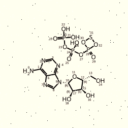 Nc1ncnc2c1ncn2[C@@H]1O[C@H](CO)[C@@H](O)[C@H]1O.O=P(O)(O)OP(=O)(O)OP1(=O)OSO1